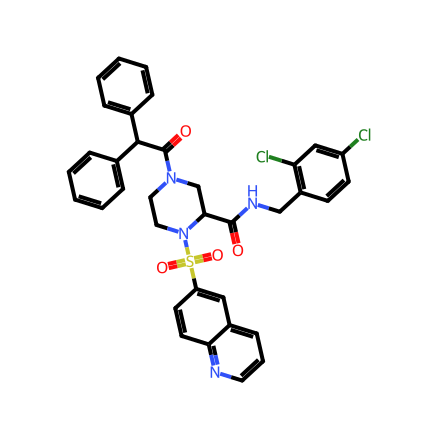 O=C(NCc1ccc(Cl)cc1Cl)C1CN(C(=O)C(c2ccccc2)c2ccccc2)CCN1S(=O)(=O)c1ccc2ncccc2c1